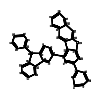 c1ccc(-c2nc(-c3ccc4c(c3)c3ccccc3n4-c3ccccc3)c3c(n2)oc2cc4ccccc4cc23)cc1